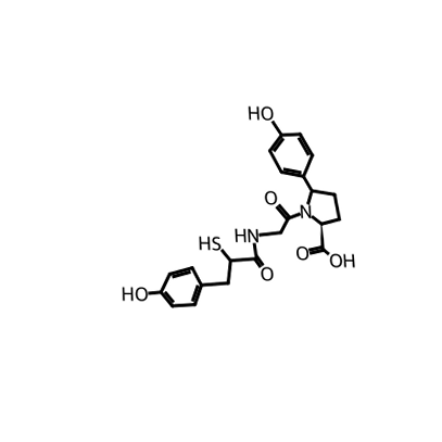 O=C(NCC(=O)N1C(c2ccc(O)cc2)CC[C@H]1C(=O)O)C(S)Cc1ccc(O)cc1